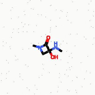 CNC1(O)CN(C)C1=O